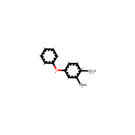 CCCCCCCCCCc1cc(Oc2ccccc2)ccc1S(=O)(=O)O